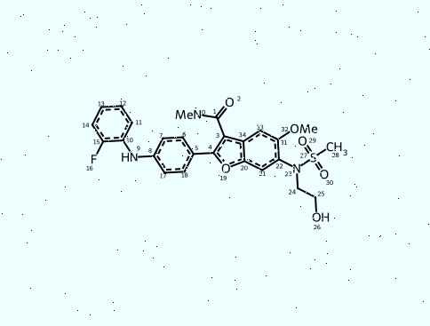 CNC(=O)c1c(-c2ccc(Nc3ccccc3F)cc2)oc2cc(N(CCO)S(C)(=O)=O)c(OC)cc12